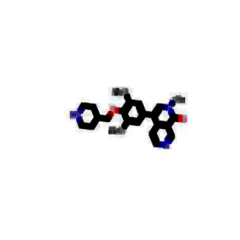 CCCCn1cc(-c2cc(OC)c(OCC3CCNCC3)c(OC)c2)c2ccncc2c1=O